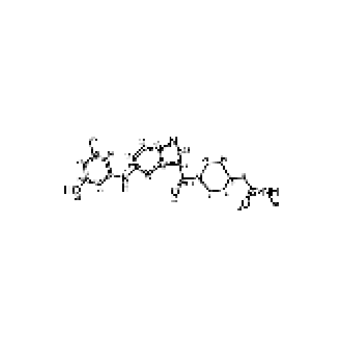 CNC(=O)CC1CCN(C(=O)c2cnn3ccc(Nc4cc(C)cc(O)c4)cc23)CC1